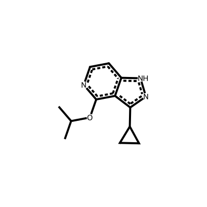 CC(C)Oc1nccc2[nH]nc(C3CC3)c12